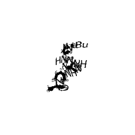 C=CC(=O)N1CCC[C@H](Nc2nc(Nc3cnn(C(C)(C)C)c3)nc3[nH]ncc23)C1